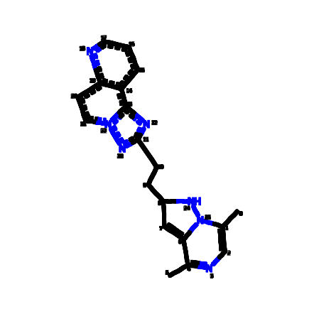 CC1=CN=C(C)C2=CC(CCc3nc4c5cccnc5ccn4n3)NN12